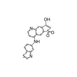 O=S1(=O)C=C(O)c2cc3nccc(Nc4ccc5scnc5c4)c3cc21